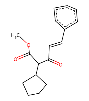 COC(=O)C(C(=O)C=Cc1ccccc1)C1CCCC1